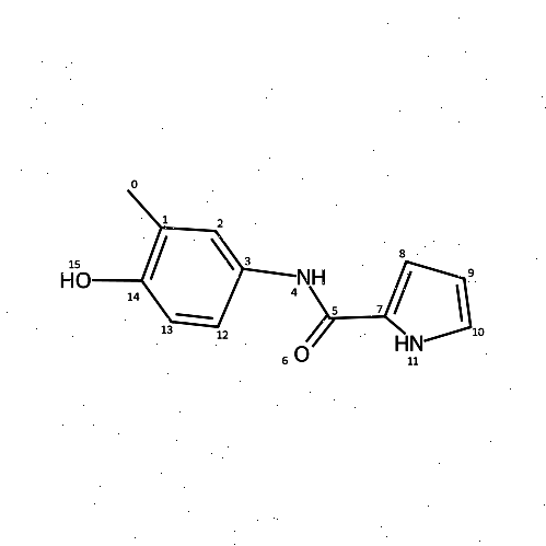 Cc1cc(NC(=O)c2ccc[nH]2)ccc1O